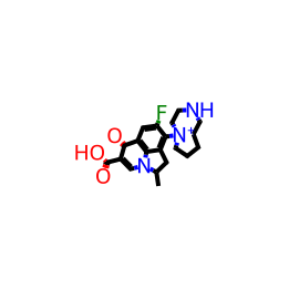 CC1Cc2c([N+]34CCCC3CNCC4)c(F)cc3c(=O)c(C(=O)O)cn1c23